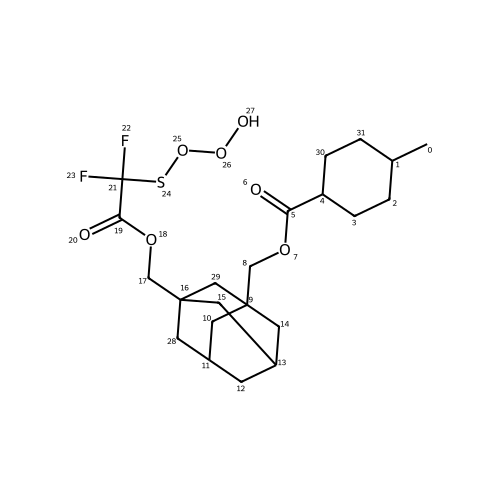 CC1CCC(C(=O)OCC23CC4CC(C2)CC(COC(=O)C(F)(F)SOOO)(C4)C3)CC1